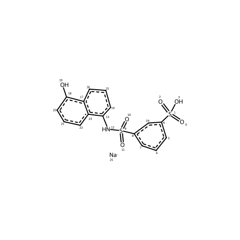 O=S(=O)(O)c1cccc(S(=O)(=O)Nc2cccc3c(O)cccc23)c1.[Na]